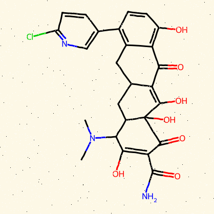 CN(C)C1C(O)=C(C(N)=O)C(=O)C2(O)C(O)=C3C(=O)c4c(O)ccc(-c5ccc(Cl)nc5)c4CC3CC12